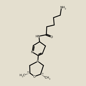 C[C@@H]1CN(C2=CCC(NC(=O)CCCCN)C=N2)C[C@H](C)O1